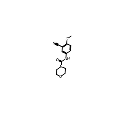 COc1ccc(NC(=O)N2CCOCC2)cc1C#N